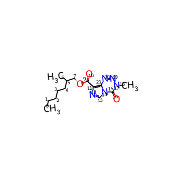 CCCCCC(C)COC(=O)c1ncn2c(=O)n(C)nnc12